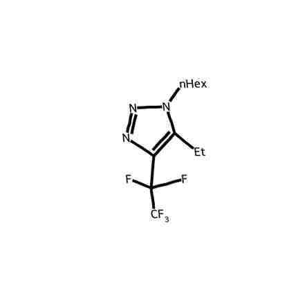 CCCCCCn1nnc(C(F)(F)C(F)(F)F)c1CC